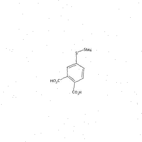 CSSc1ccc(C(=O)O)c(C(=O)O)c1